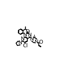 C=CC(=O)N1CCN(c2nc(=O)n(-c3ccccc3C(C)C)c3nc(N4CCCC4)c(Cl)cc23)[C@@H](C)C1